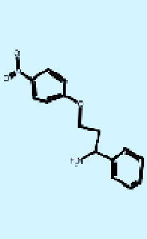 NC(CCOc1ccc([N+](=O)[O-])cc1)c1cc[c]cc1